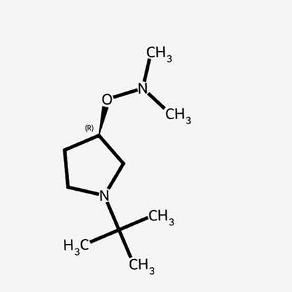 CN(C)O[C@@H]1CCN(C(C)(C)C)C1